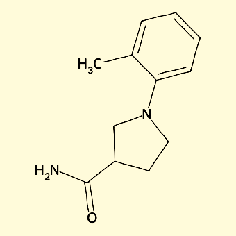 Cc1ccccc1N1CCC(C(N)=O)C1